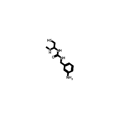 CNC(CS)NC(=O)NCc1cccc(N)c1